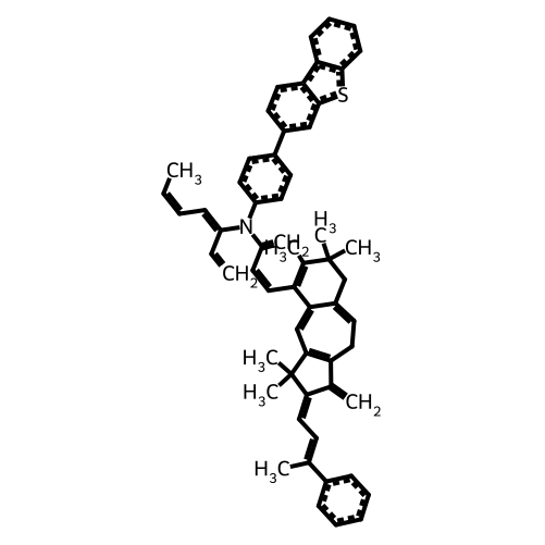 C=C/C(=C\C=C/C)N(C(=C)/C=C\C1=C(C)C(C)(C)CC2=CCC3=C(C=C21)C(C)(C)/C(=C/C=C(\C)c1ccccc1)C3=C)c1ccc(-c2ccc3c(c2)sc2ccccc23)cc1